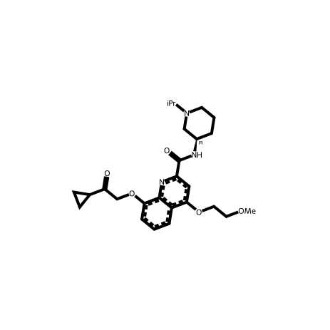 COCCOc1cc(C(=O)N[C@@H]2CCCN(C(C)C)C2)nc2c(OCC(=O)C3CC3)cccc12